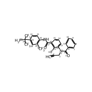 C#CCN(C(=O)c1ccccc1)c1cccc(C(=O)Nc2ccc(C(P)(C(F)(F)F)C(F)(F)F)cc2C(F)(F)F)c1F